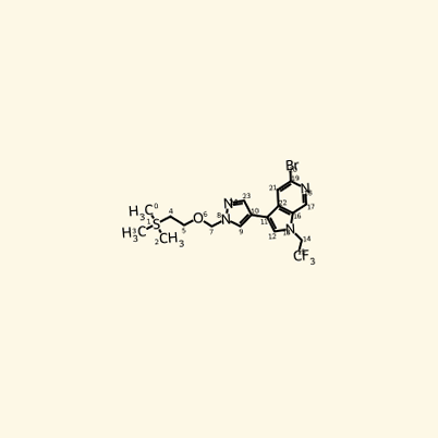 CS(C)(C)CCOCn1cc(-c2cn(CC(F)(F)F)c3cnc(Br)cc23)cn1